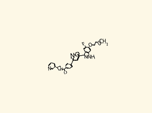 COCCOc1cc2[nH]nc(-c3cc(-c4ccc(C(=O)N5CC(c6cccnc6)C5)cc4)no3)c2cc1F